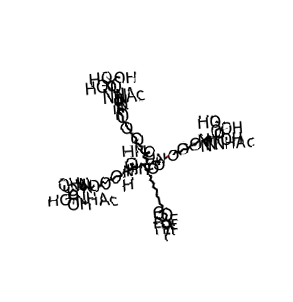 CC(=O)N[C@@H]1[C@@H](O)[C@@H](O)[C@@H](CO)O[C@@H]1c1cn(COCCOCCOCCNC(=O)CCC(CCC(=O)NCCOCCOCCOCn2cc([C@H]3O[C@H](CO)[C@H](O)[C@H](O)[C@H]3NC(C)=O)nn2)(CCC(=O)NCCOCCOCCOCn2cc([C@H]3O[C@H](CO)[C@H](O)[C@H](O)[C@H]3NC(C)=O)nn2)NC(=O)CCCCCCCCCCC(=O)Oc2c(F)c(F)c(F)c(F)c2F)nn1